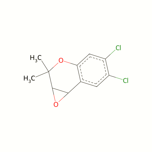 CC1(C)Oc2cc(Cl)c(Cl)cc2C2OC21